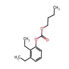 CCCCOC(=O)Oc1cccc(CC)c1CC